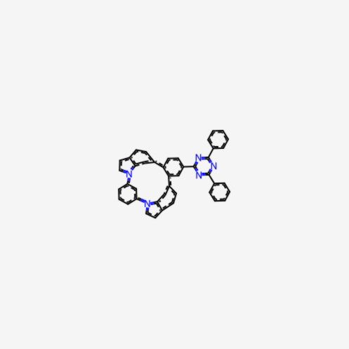 c1ccc(-c2nc(-c3ccccc3)nc(-c3ccc4c5ccc6ccn(c7cccc(c7)n7ccc8ccc(cc87)c4c3)c6c5)n2)cc1